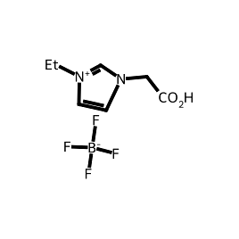 CC[n+]1ccn(CC(=O)O)c1.F[B-](F)(F)F